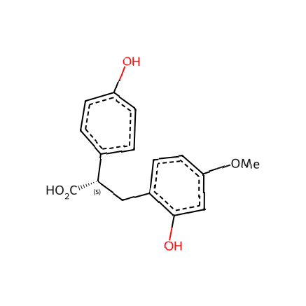 COc1ccc(C[C@H](C(=O)O)c2ccc(O)cc2)c(O)c1